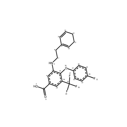 O=C(O)c1cc(NCCC2=CCCC=C2)c(Oc2ccc(F)cc2)c(C(F)(F)F)c1